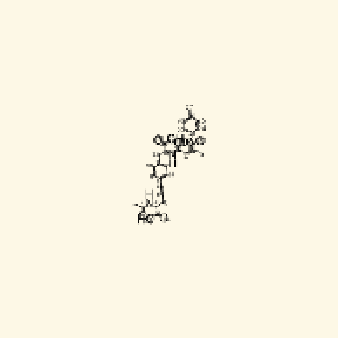 CC(=O)NC(CC#Cc1ccc(C[C@H](NC(=O)CN(C)S(=O)(=O)c2ccc(C)cc2)C(=O)O)cc1)C(=O)O